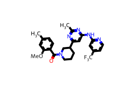 COc1cc(C)ccc1C(=O)N1CCCC(c2cc(Nc3cc(C(F)(F)F)ccn3)nc(C)n2)C1